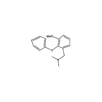 COc1cccc(CN(C)C)c1Sc1ccccc1